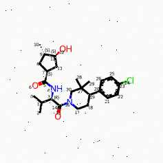 CC(C)[C@@H](NC(=O)[C@H]1C[C@H](C)[C@@H](O)C1)C(=O)N1CCC(c2ccc(Cl)cc2)C(C)(C)C1